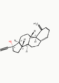 C#C[C@]1(O)CC[C@H]2[C@@H]3CCC4=CCCC(=C)[C@@H]4[C@H]3CC[C@@H]21